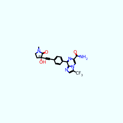 CN1CC[C@@](O)(C#Cc2ccc(-c3nc(C(N)=O)cn4c(C(F)(F)F)cnc34)cc2)C1=O